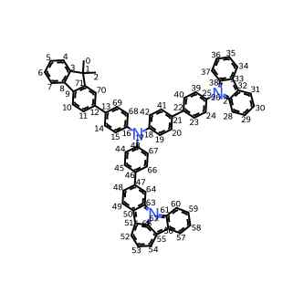 CC1(C)c2ccccc2-c2ccc(-c3ccc(N(c4ccc(-c5ccc(-n6c7ccccc7c7ccccc76)cc5)cc4)c4ccc(-c5ccc6c7cccc8c9ccccc9n(c6c5)c87)cc4)cc3)cc21